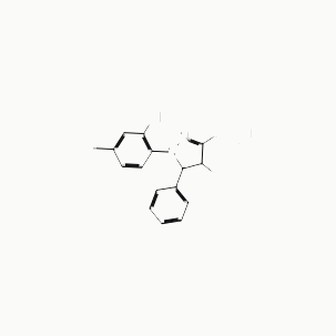 CC1C(C(=O)O)=NN(c2ccc(Cl)cc2Cl)C1c1ccccc1